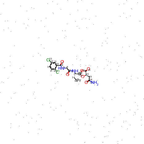 CC(C)C[C@H](NC(=O)CNC(=O)c1cc(Cl)ccc1Cl)B1OC(=O)[C@@H](CC(N)=O)O1